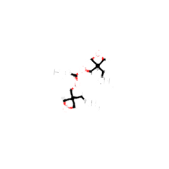 CCC1(COC(C)OCC2(CC)COC2)COC1